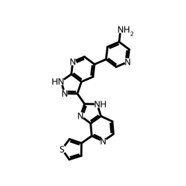 Nc1cncc(-c2cnc3[nH]nc(-c4nc5c(-c6ccsc6)nccc5[nH]4)c3c2)c1